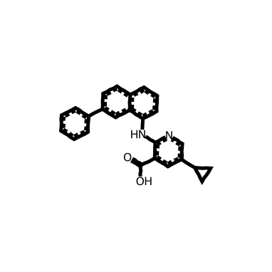 O=C(O)c1cc(C2CC2)cnc1Nc1cccc2ccc(-c3ccccc3)cc12